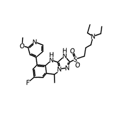 CCN(CC)CCCS(=O)(=O)c1nnc(Nc2c(-c3ccnc(OC)c3)cc(F)cc2C(C)C)[nH]1